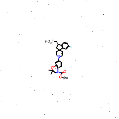 CC(C)(C)OC(=O)N1CC(C)(C)Oc2cc(N3CCC4(CC3)C[C@@H](CC(=O)O)c3ccc(F)cc34)ccc21